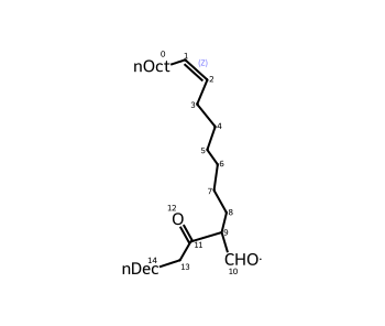 CCCCCCCC/C=C\CCCCCCC([C]=O)C(=O)CCCCCCCCCCC